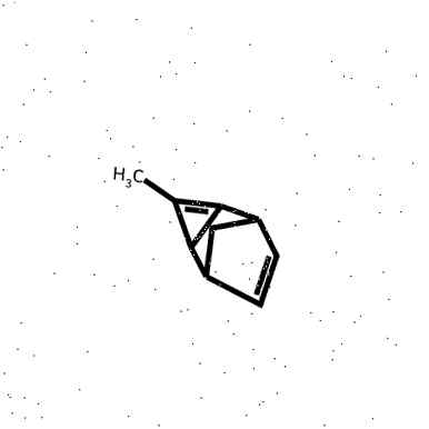 CC1=C2C3C=CC(C3)C12